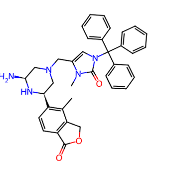 Cc1c([C@@H]2CN(Cc3cn(C(c4ccccc4)(c4ccccc4)c4ccccc4)c(=O)n3C)C[C@H](N)N2)ccc2c1COC2=O